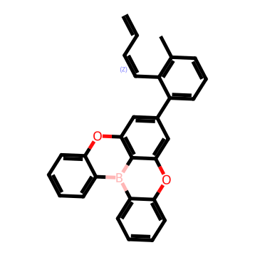 C=C/C=C\c1c(C)cccc1-c1cc2c3c(c1)Oc1ccccc1B3c1ccccc1O2